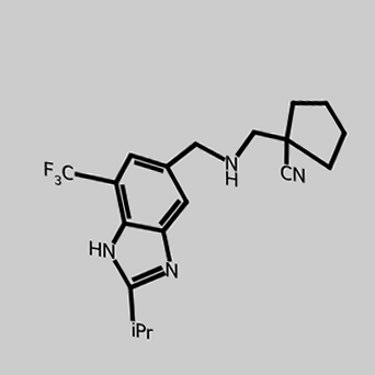 CC(C)c1nc2cc(CNCC3(C#N)CCCC3)cc(C(F)(F)F)c2[nH]1